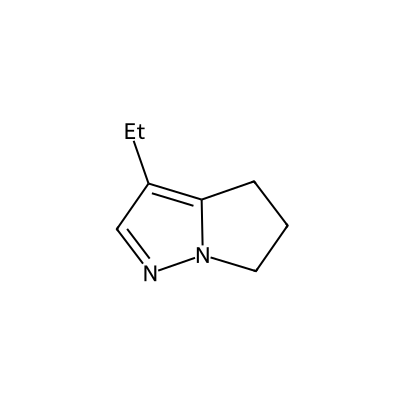 CCc1cnn2c1CCC2